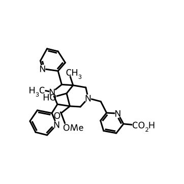 COC(=O)C12CN(Cc3cccc(C(=O)O)n3)CC(C)(C(c3ccccn3)N(C)C1c1ccccn1)C2O